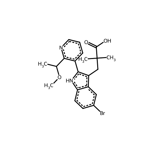 COC(C)c1ncccc1-c1[nH]c2ccc(Br)cc2c1CC(C)(C)C(=O)O